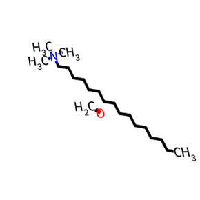 C=O.CCCCCCCCCCCCCCCC[N+](C)(C)C